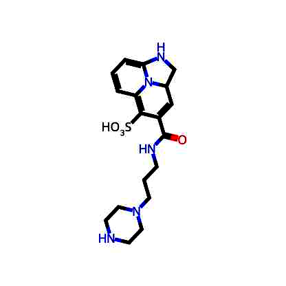 O=C(NCCCN1CCNCC1)C1=CC2CNC3=CC=CC(=C1S(=O)(=O)O)N32